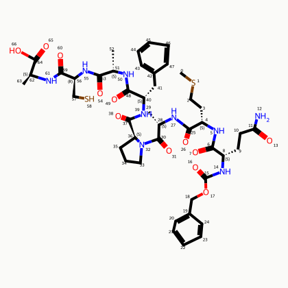 CSCC[C@H](NC(=O)[C@H](CCC(N)=O)NC(=O)OCc1ccccc1)C(=O)N[C@@H](C)C(=O)N1CCC[C@H]1C(=O)N[C@@H](Cc1ccccc1)C(=O)N[C@@H](C)C(=O)N[C@@H](CS)C(=O)N[C@@H](C)C(=O)O